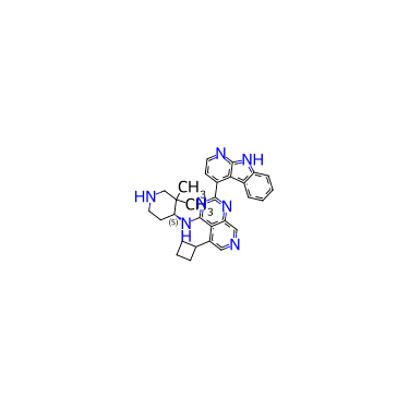 CC1(C)CNCC[C@@H]1Nc1nc(-c2ccnc3[nH]c4ccccc4c23)nc2cncc(C3CCC3)c12